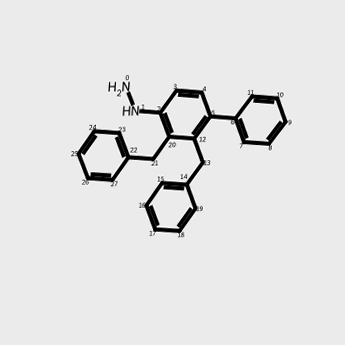 NNc1ccc(-c2ccccc2)c(Cc2ccccc2)c1Cc1ccccc1